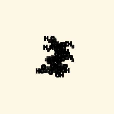 CCCCC(NC(=O)[C@H](CC(C)C)NC(=O)[C@@H](NC(=O)[C@H](Cc1ccsc1)NC(=O)[C@H](CCC(=O)O)NC(=O)[C@H](CC(=O)O)NC(=O)CCC(=O)O)C(C)(C)C)C(=O)C(N)=O